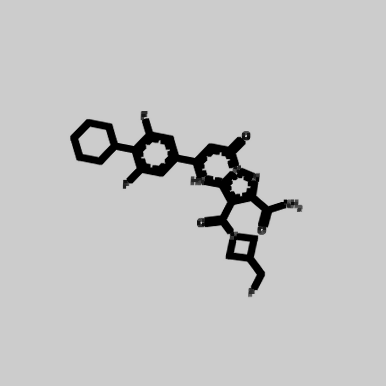 NC(=O)c1nn2c(=O)cc(-c3cc(F)c(C4CCCCC4)c(F)c3)[nH]c2c1C(=O)N1CC(CF)C1